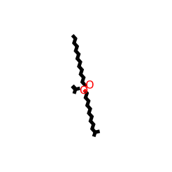 C=C(C)C.CCCCCCCCCCCCCC(=O)OCCCCCCCCCCC(C)C